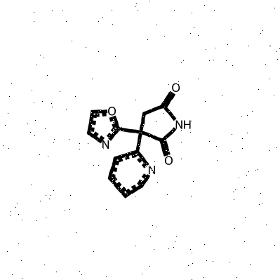 O=C1CC(c2ccccn2)(c2ncco2)C(=O)N1